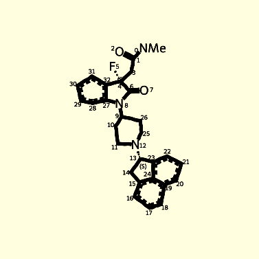 CNC(=O)C[C@@]1(F)C(=O)N(C2CCN([C@H]3Cc4cccc5cccc3c45)CC2)c2ccccc21